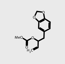 C=CC(Cc1ccc2c(c1)OCO2)OC(=O)OC